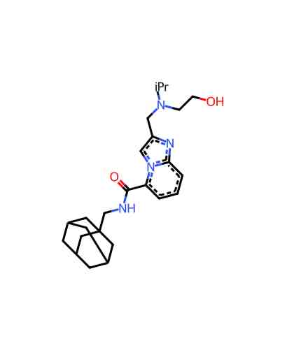 CC(C)N(CCO)Cc1cn2c(C(=O)NCC34CC5CC(CC(C5)C3)C4)cccc2n1